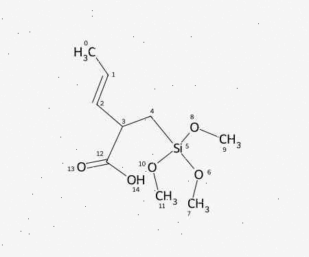 CC=CC(C[Si](OC)(OC)OC)C(=O)O